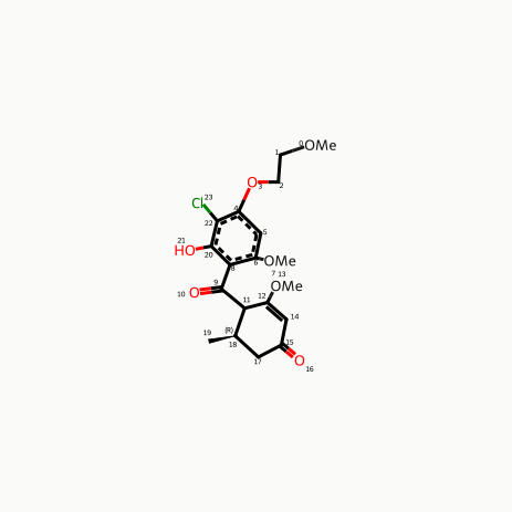 COCCOc1cc(OC)c(C(=O)C2C(OC)=CC(=O)C[C@H]2C)c(O)c1Cl